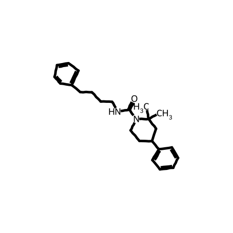 CC1(C)CC(c2ccccc2)CCN1C(=O)NCCCCc1ccccc1